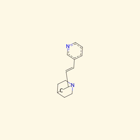 C(=CC1CC2CCN1CC2)c1cccnc1